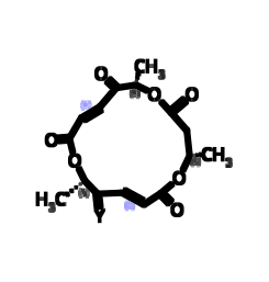 C[C@@H]1OC(=O)C[C@H](C)OC(=O)/C=C/[C](=[Y])[C@H](C)OC(=O)/C=C/C1=O